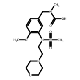 COc1ccc(CN(C)C(=O)O)cc1N(CCN1CCOCC1)S(C)(=O)=O